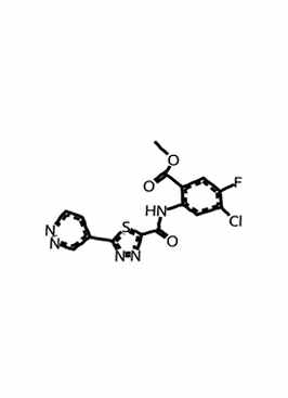 COC(=O)c1cc(F)c(Cl)cc1NC(=O)c1nnc(-c2ccnnc2)s1